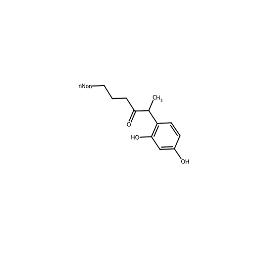 CCCCCCCCCCCCC(=O)C(C)c1ccc(O)cc1O